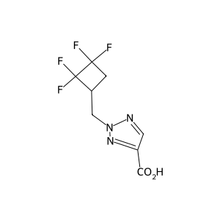 O=C(O)c1cnn(CC2CC(F)(F)C2(F)F)n1